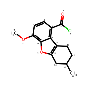 COc1ccc(C(=O)Cl)c2c3c(oc12)CC(C)CC3